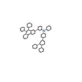 c1ccc(-c2ccc(-c3ccc(N(c4ccccc4)c4cccc(-c5ccc6c(c5)c(-c5ccccc5)c(-c5ccccc5)c5ccccc56)c4)cc3)cc2-c2ccccc2)cc1